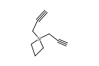 C#CC[Si]1(CC#C)CCC1